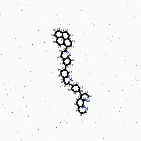 c1cnc2c(c1)ccc1c(-c3ccc(-c4ccc5ccc(-c6ccc7nc(-c8ccc9ccc%10cccc%11ccc8c9c%10%11)ccc7c6)cc5n4)cc3)ccnc12